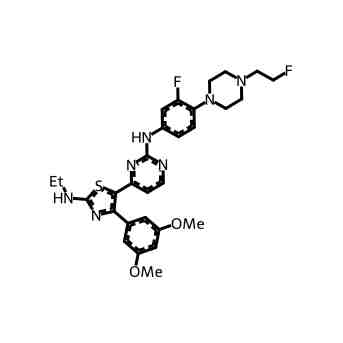 CCNc1nc(-c2cc(OC)cc(OC)c2)c(-c2ccnc(Nc3ccc(N4CCN(CCF)CC4)c(F)c3)n2)s1